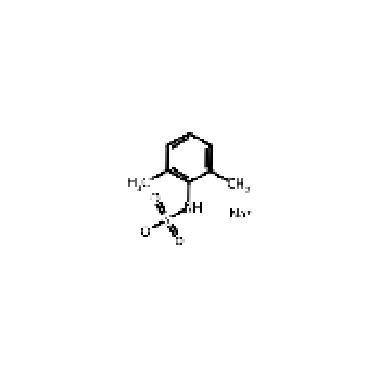 Cc1cccc(C)c1NS(=O)(=O)[O-].[Na+]